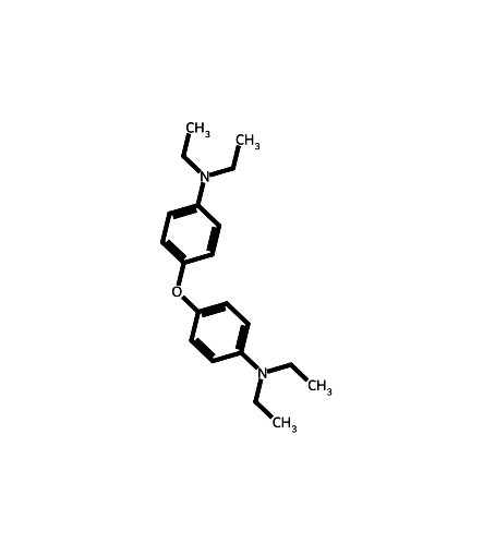 CCN(CC)c1ccc(Oc2ccc(N(CC)CC)cc2)cc1